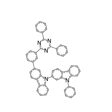 c1ccc(-c2nc(-c3ccccc3)nc(-c3cccc(-c4ccc5c6ccccc6n(-c6ccc7c8ccccc8n(-c8ccccc8)c7c6)c5c4)c3)n2)cc1